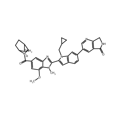 COc1cc(C(=O)N2CC3CCC2[C@@H]3N)cc2nc(-c3cc4ccc(-c5cnc6c(c5)C(=O)NC6)cc4n3CC3CC3)n(C)c12